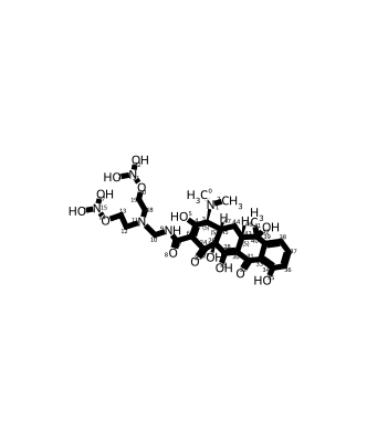 CN(C)[C@@H]1C(O)=C(C(=O)NCN(CCON(O)O)CCON(O)O)C(=O)[C@@]2(O)C(O)=C3C(=O)c4c(O)cccc4C(C)(O)[C@H]3C[C@@H]12